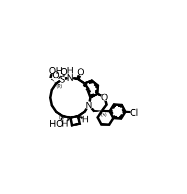 O=C1NS(=O)(=O)[C@@H](CO)CCCC[C@H](O)[C@@H]2CC[C@H]2CN2C[C@@]3(CCCc4cc(Cl)ccc43)COc3ccc1cc32